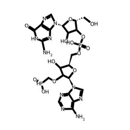 Nc1nc2c(ncn2[C@@H]2O[C@H](CO)C(OP(=O)(O)OC[C@H]3O[C@@H](n4cnc5c(N)ncnc54)C(OC[PH](=O)O)C3O)C2O)c(=O)[nH]1